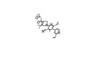 C=Cc1cc(-c2c(C3CC3)nc(N3CCN(C(=O)C[C@H]4CCO4)[C@H](C(C)C)C3)c(C#N)c2C)ccn1